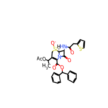 CC(=O)OC(C)C1=C(C(=O)OC(c2ccccc2)c2ccccc2)N2C(=O)[C@@H](NC(=O)Cc3cccs3)[C@@H]2[S+]([O-])C1